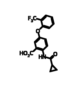 O=C(O)c1cc(Oc2ccccc2C(F)(F)F)ccc1NC(=O)C1CC1